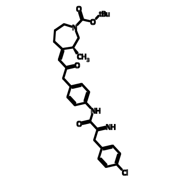 C[C@@H]1CN(C(=O)OC(C)(C)C)CCC/C1=C/C(=O)Cc1ccc(NC(=O)C(=N)Cc2ccc(Cl)cc2)cc1